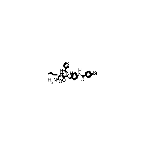 CCCC[C@H](NC(=O)[C@H](Cc1ccc(NC(=O)c2ccc(Br)cc2)cc1)NC(=O)c1ccsc1)C(N)=O